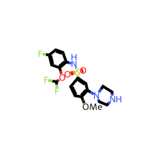 COc1ccc(S(=O)(=O)Nc2ccc(F)cc2OC(F)F)cc1N1CCNCC1